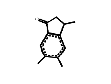 Cc1cc2c(cc1C)C(C)CC2=O